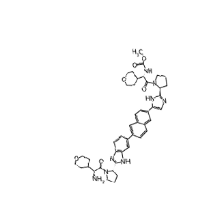 COC(=O)N[C@H](C(=O)N1CCC[C@H]1c1ncc(-c2ccc3cc(-c4ccc5nc([C@@H]6CCCN6C(=O)[C@@H](N)C6CCOCC6)[nH]c5c4)ccc3c2)[nH]1)C1CCOCC1